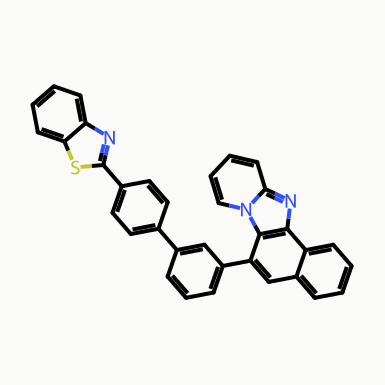 c1cc(-c2ccc(-c3nc4ccccc4s3)cc2)cc(-c2cc3ccccc3c3nc4ccccn4c23)c1